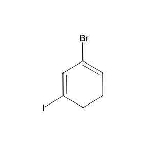 BrC1=CCCC(I)=C1